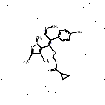 C/N=C\C(=C(\OCOC(=O)C1CC1)c1c(C)c(C)nn1C)c1ccc(C(C)(C)C)cc1